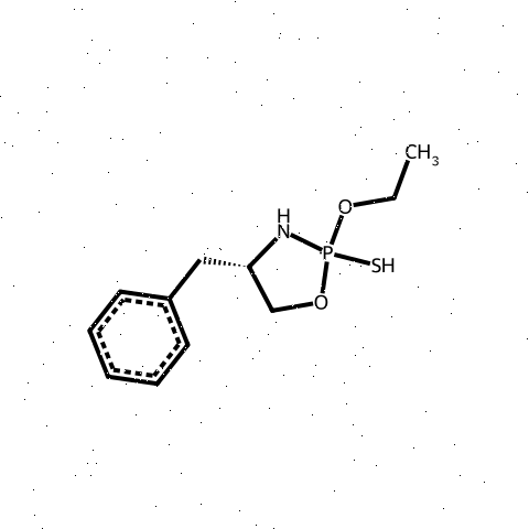 CCO[P]1(S)N[C@@H](Cc2ccccc2)CO1